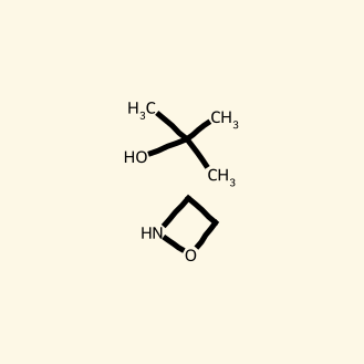 C1CON1.CC(C)(C)O